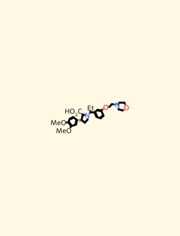 CCC(c1cccc(OCCN2CCOCC2)c1)N1CC[C@H](c2ccc(OC)c(OC)c2)[C@H]1C(=O)O